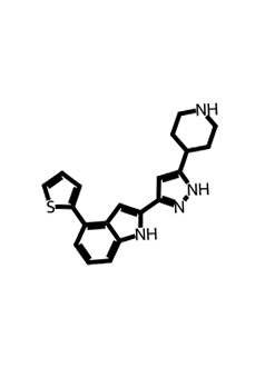 c1csc(-c2cccc3[nH]c(-c4cc(C5CCNCC5)[nH]n4)cc23)c1